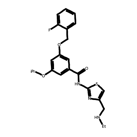 CCNCc1csc(NC(=O)c2cc(OCc3ccccc3F)cc(OC(C)C)c2)n1